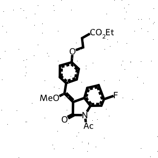 CCOC(=O)CCOc1ccc(C(OC)=C2C(=O)N(C(C)=O)c3cc(F)ccc32)cc1